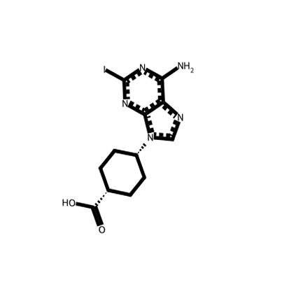 Nc1nc(I)nc2c1ncn2[C@H]1CC[C@@H](C(=O)O)CC1